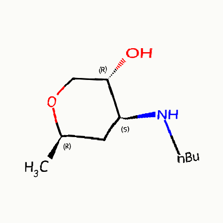 CCCCN[C@H]1C[C@@H](C)OC[C@@H]1O